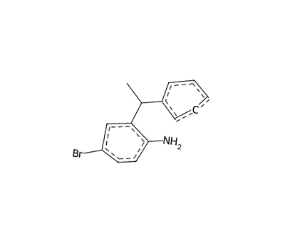 CC(c1ccccc1)c1cc(Br)ccc1N